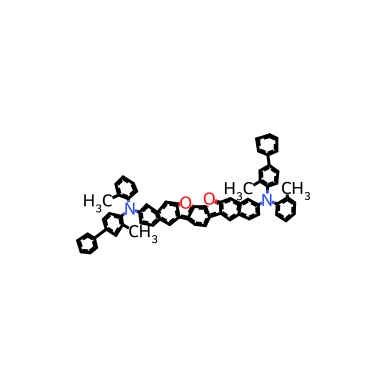 Cc1ccccc1N(c1ccc2cc3c(cc2c1)oc1c3ccc2c3cc4ccc(N(c5ccccc5C)c5ccc(-c6ccccc6)cc5C)cc4cc3oc21)c1ccc(-c2ccccc2)cc1C